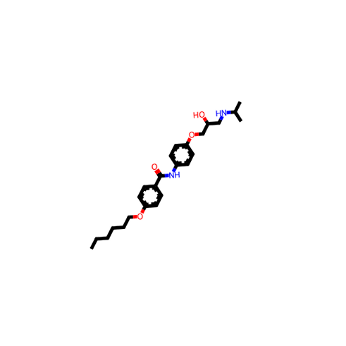 CCCCCCOc1ccc(C(=O)Nc2ccc(OCC(O)CNC(C)C)cc2)cc1